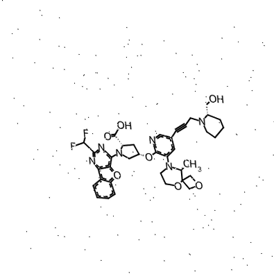 C[C@@H]1N(c2cc(C#CCN3CCCC[C@H]3CO)cnc2O[C@H]2C[C@@H](C(=O)O)N(c3nc(C(F)F)nc4c3oc3ccccc34)C2)CCOC12COC2